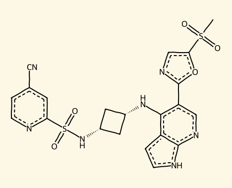 CS(=O)(=O)c1cnc(-c2cnc3[nH]ccc3c2N[C@H]2C[C@@H](NS(=O)(=O)c3cc(C#N)ccn3)C2)o1